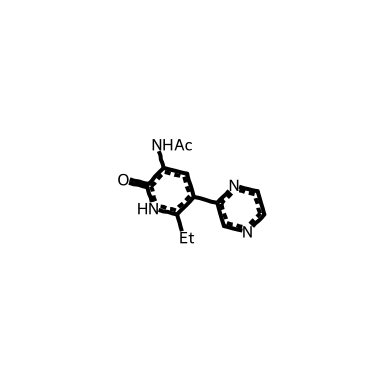 CCc1[nH]c(=O)c(NC(C)=O)cc1-c1cnccn1